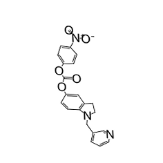 O=C(Oc1ccc([N+](=O)[O-])cc1)Oc1ccc2c(c1)CCN2Cc1cccnc1